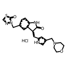 Cl.O=C1Nc2ccc(Cn3ncsc3=O)cc2C1=Cc1cc(CN2CCOCC2)c[nH]1